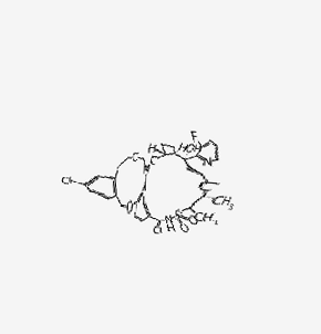 C[C@@H]1[C@@H](C)C/C=C/[C@](O)(c2ncccc2F)[C@@H]2CC[C@H]2CN2CCCCc3cc(Cl)ccc3COc3ccc(cc32)C(=O)NS1(=O)=O